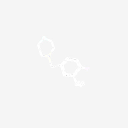 O=C(O)c1cc(CN2CCOCC2)ccc1F